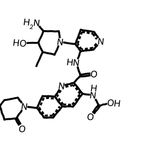 CC1CN(c2ccncc2NC(=O)c2nc3cc(N4CCCCC4=O)ccc3cc2NC(=O)O)CC(N)C1O